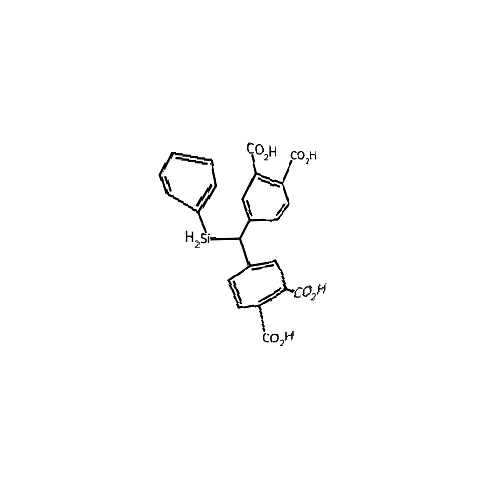 O=C(O)c1ccc(C([SiH2]c2ccccc2)c2ccc(C(=O)O)c(C(=O)O)c2)cc1C(=O)O